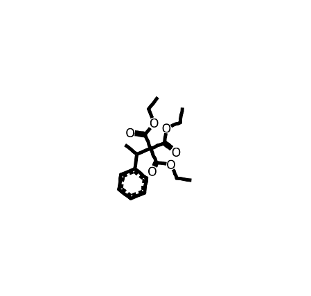 CCOC(=O)C(C(=O)OCC)(C(=O)OCC)C(C)c1ccccc1